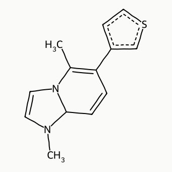 CC1=C(c2ccsc2)C=CC2N(C)C=CN12